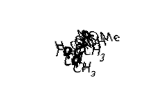 COc1ccnc(C(=O)N[C@@H](C)C(=O)O[C@@H](C)[C@H](c2ccc(F)cc2C)c2ccc(C)cc2F)c1O